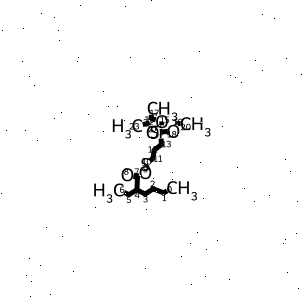 CCCCC(CC)C(=O)OSCCC[Si](OCC)(OCC)OCC